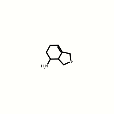 NC1CCC=C2C[N]CC21